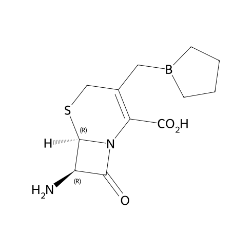 N[C@@H]1C(=O)N2C(C(=O)O)=C(CB3CCCC3)CS[C@H]12